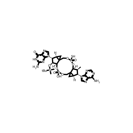 C[C@H]1[C@H](n2cnc3c(N)ncnc32)[C@H]2CC23COP(=O)(O)O[C@H]2[C@@H](O[Si](C)(C)C(C)(C)C)[C@H](n4cnc5c(=O)[nH]c(N)nc54)[C@H]4CC42COP(=O)(S)O[C@@H]13